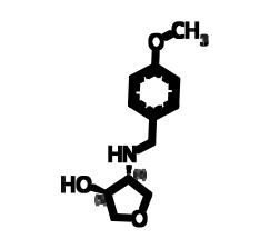 COc1ccc(CN[C@@H]2COC[C@H]2O)cc1